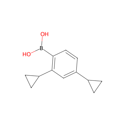 OB(O)c1ccc(C2CC2)cc1C1CC1